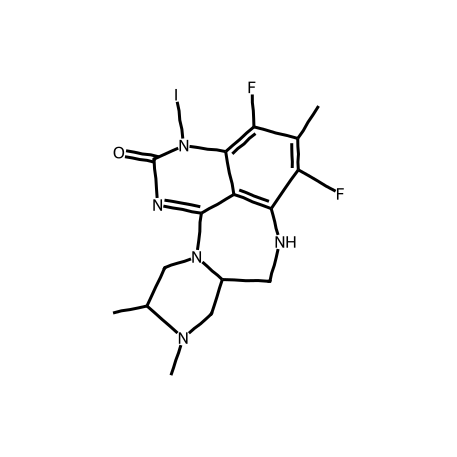 Cc1c(F)c2c3c(nc(=O)n(I)c3c1F)N1CC(C)N(C)CC1CN2